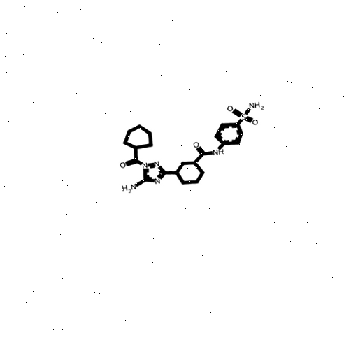 Nc1nc(C2CCCC(C(=O)Nc3ccc(S(N)(=O)=O)cc3)C2)nn1C(=O)C1CCCCC1